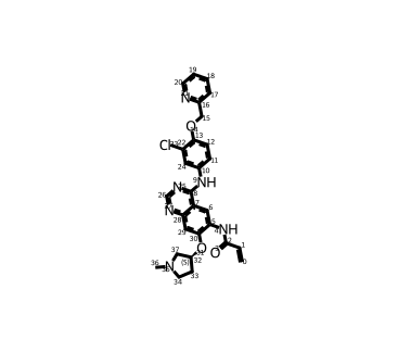 C=CC(=O)Nc1cc2c(Nc3ccc(OCc4ccccn4)c(Cl)c3)ncnc2cc1O[C@H]1CCN(C)C1